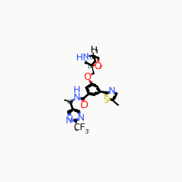 Cc1cnc(-c2cc(OC[C@]34CN[C@H](CO3)C4)cc(C(=O)N[C@H](C)c3cnc(C(F)(F)F)nc3)c2)s1